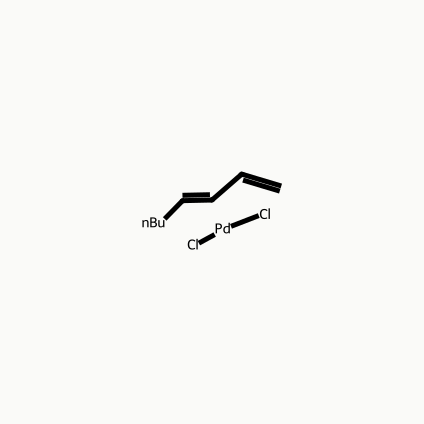 C=CC=CCCCC.[Cl][Pd][Cl]